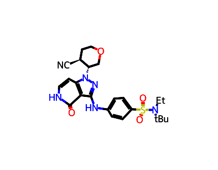 CCN(C(C)(C)C)S(=O)(=O)c1ccc(Nc2nn([C@H]3COCC[C@@H]3C#N)c3cc[nH]c(=O)c23)cc1